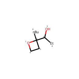 CCCCC1(C(O)CC)CCO1